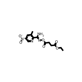 CCOC(=O)CCC(=O)O/N=C(\N)c1ncc([N+](=O)[O-])cc1C